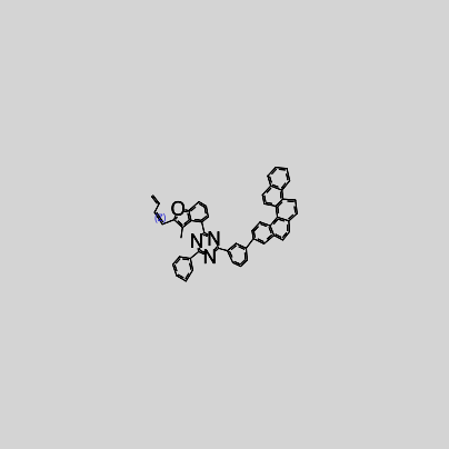 C=C/C=C\c1oc2cccc(-c3nc(-c4ccccc4)nc(-c4cccc(-c5ccc6c(ccc7ccc8c9ccccc9ccc8c76)c5)c4)n3)c2c1C